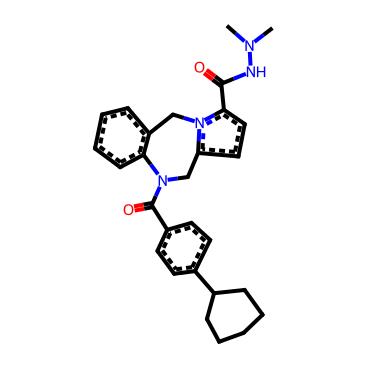 CN(C)NC(=O)c1ccc2n1Cc1ccccc1N(C(=O)c1ccc(C3CCCCC3)cc1)C2